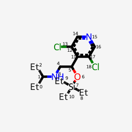 CCC(CC)NCC(O[Si](CC)(CC)CC)c1c(Cl)cncc1Cl